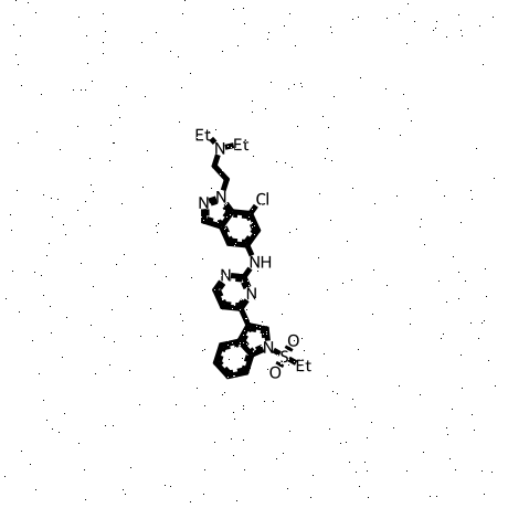 CCN(CC)CCn1ncc2cc(Nc3nccc(-c4cn(S(=O)(=O)CC)c5ccccc45)n3)cc(Cl)c21